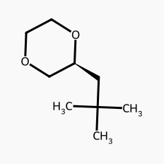 CC(C)(C)C[C@H]1COCCO1